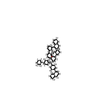 c1ccc(-c2ccc(N(c3ccc(-c4ccccc4-n4c5ccccc5c5cccc(-c6cccc7ccccc67)c54)cc3)c3ccc(-c4cccc5ccccc45)cc3)cc2)cc1